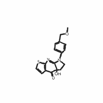 COCc1ccc(N2CCC3(O)C(=O)c4ccsc4N=C23)cc1